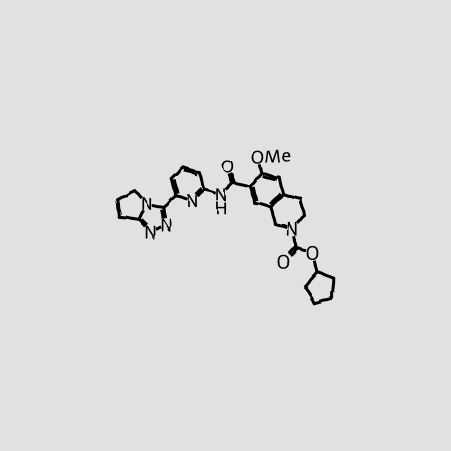 COc1cc2c(cc1C(=O)Nc1cccc(-c3nnc4n3CCC4)n1)CN(C(=O)OC1CCCC1)CC2